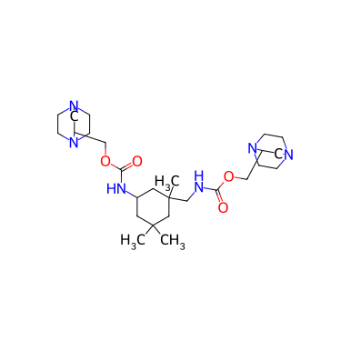 CC1(C)CC(NC(=O)OCC2CN3CCN2CC3)CC(C)(CNC(=O)OCC2CN3CCN2CC3)C1